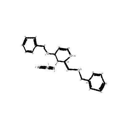 [N-]=[N+]=N[C@@H]1C(OCc2ccccc2)C=COC1COCc1ccccc1